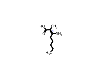 CCCCC/C(N)=C(/C)C(=O)O